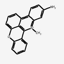 C[n+]1c2c3c(cccc3c3ccc(N)cc31)Oc1ccccc1-2